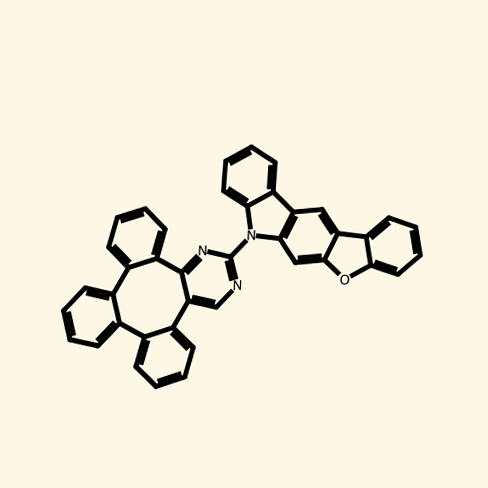 c1ccc2c(c1)-c1ccccc1-c1cnc(-n3c4ccccc4c4cc5c(cc43)oc3ccccc35)nc1-c1ccccc1-2